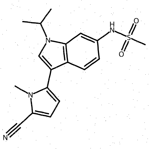 CC(C)n1cc(-c2ccc(C#N)n2C)c2ccc(NS(C)(=O)=O)cc21